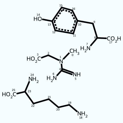 CN(CC(=O)O)C(=N)N.NC(Cc1ccc(O)cc1)C(=O)O.NCCCCC(N)C(=O)O